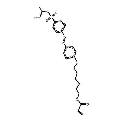 C=CC(=O)OCCCCCCSc1ccc(N=Nc2ccc(S(=O)(=O)C[C@H](C)CC)cc2)cc1